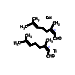 CC(C)=CCC/C(C)=C\C=O.CC(C)=CCC/C(C)=C\C=O.[Ge].[Ti]